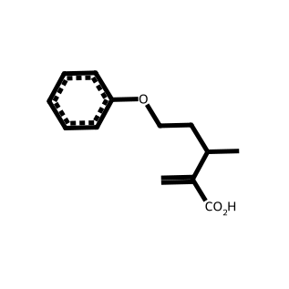 C=C(C(=O)O)C(C)CCOc1ccccc1